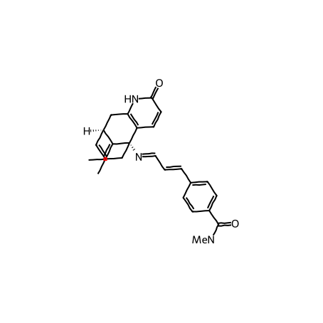 C/C=C1\[C@H]2C=C(C)C[C@]1(/N=C/C=C/c1ccc(C(=O)NC)cc1)c1ccc(=O)[nH]c1C2